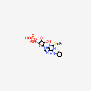 CCCSc1nc(NC2CCCC2)c2ncn([C@@H]3O[C@H](COP(=O)(O)O)C(O)C3O)c2n1